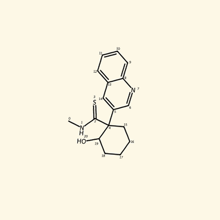 CNC(=S)C1(c2cnc3ccccc3c2)CCCCC1O